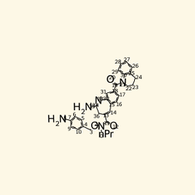 CCCN(OCc1ccc(N)cc1)C(=O)C1=Cc2ccc(C(=O)N3CCCc4ccccc43)cc2N=C(N)C1